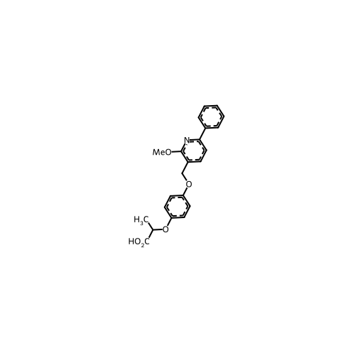 COc1nc(-c2ccccc2)ccc1COc1ccc(OC(C)C(=O)O)cc1